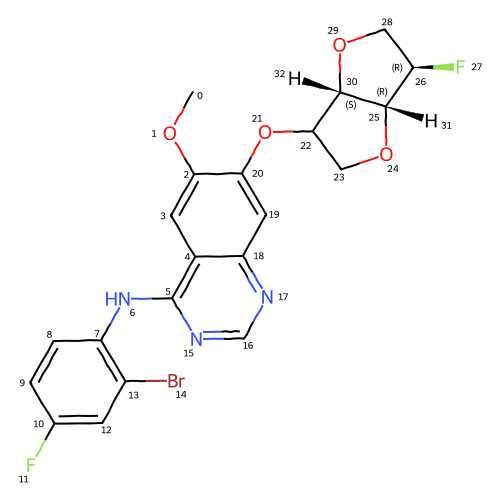 COc1cc2c(Nc3ccc(F)cc3Br)ncnc2cc1OC1CO[C@H]2[C@H](F)CO[C@@H]12